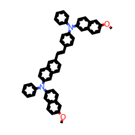 COc1ccc2cc(N(c3ccccc3)c3ccc(/C=C/c4ccc5cc(N(c6ccccc6)c6ccc7cc(OC)ccc7c6)ccc5c4)cc3)ccc2c1